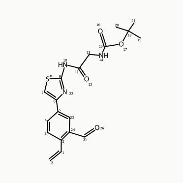 C=Cc1ccc(-c2csc(NC(=O)CNC(=O)OC(C)(C)C)n2)cc1C=O